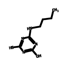 CCCCNc1nc(O)nc(S)n1